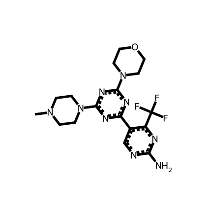 CN1CCN(c2nc(-c3cnc(N)nc3C(F)(F)F)nc(N3CCOCC3)n2)CC1